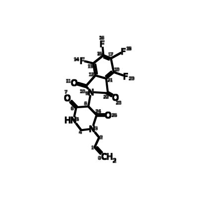 C=CCN1CNC(=O)C(N2C(=O)c3c(F)c(F)c(F)c(F)c3C2=O)C1=O